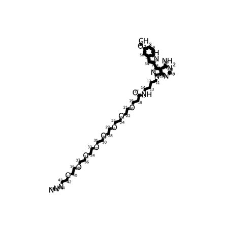 COc1ccc2[nH]c(-c3nn(CCCCNC(=O)CCOCCOCCOCCOCCOCCOCCOCCOCCN=[N+]=[N-])c4ncnc(N)c34)cc2c1